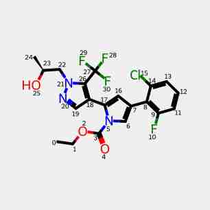 CCOC(=O)n1cc(-c2c(F)cccc2Cl)cc1-c1cnn(C[C@H](C)O)c1C(F)(F)F